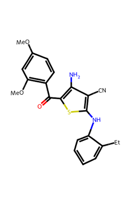 CCc1ccccc1Nc1sc(C(=O)c2ccc(OC)cc2OC)c(N)c1C#N